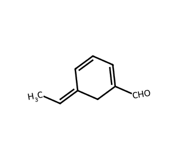 C/C=C1\C=CC=C(C=O)C1